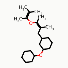 CC(C)=C(C)O/C(C)=C(/C)CC1CCCC(OC2CCCCC2)C1